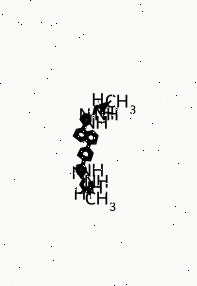 C[C@@H]1[C@@H]2C[C@@H](c3ncc(-c4ccc(-c5cccc6c(-c7cnc([C@@H]8C[C@H]9[C@@H](C)[C@H]9N8)[nH]7)cccc56)cc4)[nH]3)N[C@H]12